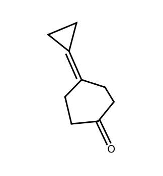 O=C1CCC(=C2CC2)CC1